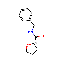 O=C(NCc1c[c]ccc1)[C@@H]1CCCO1